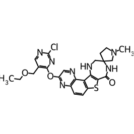 CCOCc1cnc(Cl)nc1Oc1cnc2c(ccc3sc4c(c32)NCC2(CCN(C)C2)NC4=O)n1